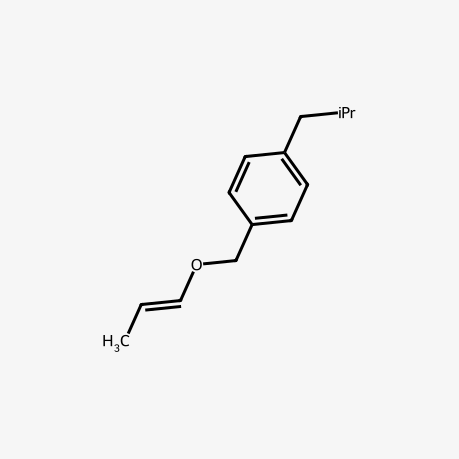 CC=COCc1ccc(CC(C)C)cc1